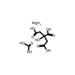 O=C(O)CC(O)(CC(=O)O)C(=O)O.O=C(O)O.[MgH2]